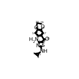 Nc1nc(NC2CC2)sc1C(=O)c1ccc2c(c1)OCCO2